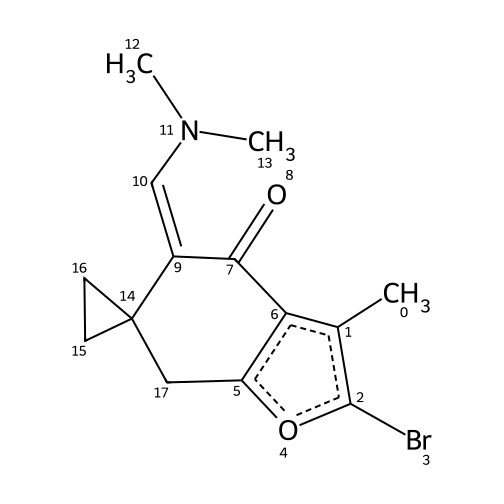 Cc1c(Br)oc2c1C(=O)/C(=C\N(C)C)C1(CC1)C2